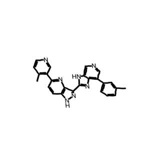 Cc1cccc(-c2cncc3[nH]c(-c4n[nH]c5ccc(-c6cnccc6C)nc45)nc23)c1